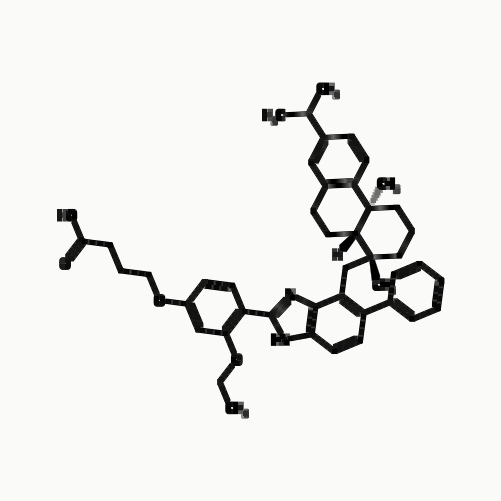 CCOc1cc(OCCCC(=O)O)ccc1-c1nc2c(C[C@@]3(C)CCC[C@]4(C)c5ccc(C(C)C)cc5CC[C@@H]34)c(-c3ccccc3)ccc2[nH]1